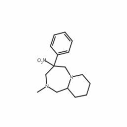 CN1CC2CCCCN2CC(c2ccccc2)([N+](=O)[O-])C1